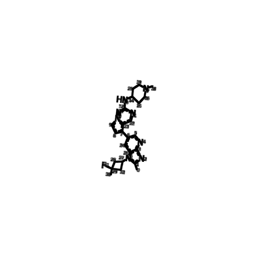 Cc1nc2ncc(-c3ccn4nc(NC5CCN(C)CC5)ncc34)cc2n1C1CC(C)(F)C1